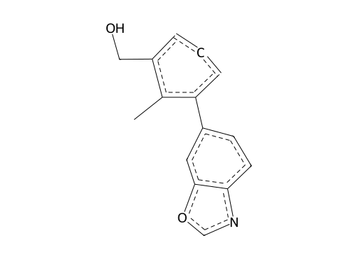 Cc1c(CO)cccc1-c1ccc2ncoc2c1